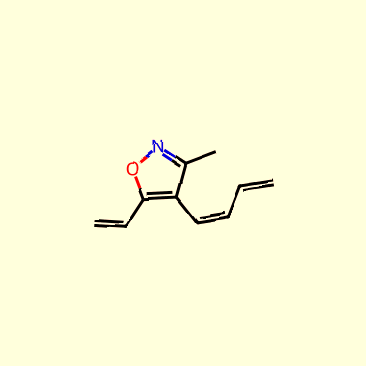 C=C/C=C\c1c(C)noc1C=C